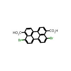 O=C(O)c1ccc2c3ccc(C(=O)O)c4c(Br)ccc(c5ccc(Br)c1c52)c43